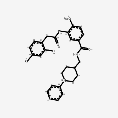 COc1ccc(C(=O)NCC2CCN(c3ccncc3)CC2)cc1NC(=O)Cc1ccc(Cl)cc1Cl